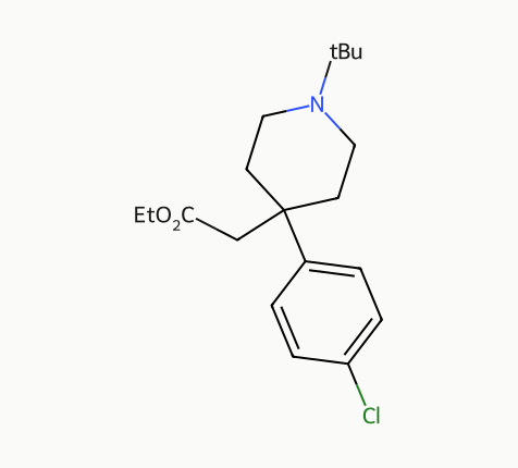 CCOC(=O)CC1(c2ccc(Cl)cc2)CCN(C(C)(C)C)CC1